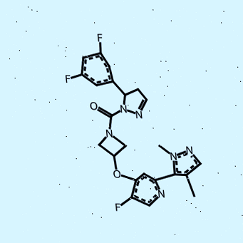 Cc1cnn(C)c1-c1cc(OC2CN(C(=O)N3N=CCC3c3cc(F)cc(F)c3)C2)c(F)cn1